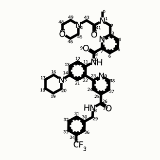 CN(Cc1cccc(C(=O)Nc2ccc(N3CCCCC3)cc2-c2cc(C(=O)NCc3cccc(C(F)(F)F)c3)ccn2)n1)C(=O)CN1CCOCC1